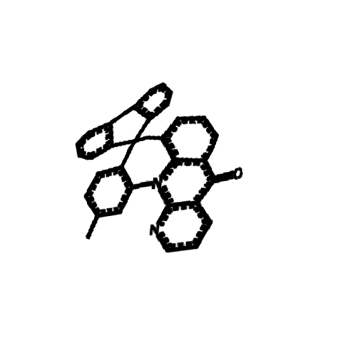 Cc1ccc2c(c1)-n1c3ncccc3c(=O)c3cccc(c31)C21c2ccccc2-c2ccccc21